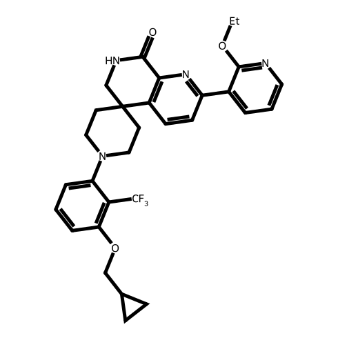 CCOc1ncccc1-c1ccc2c(n1)C(=O)NCC21CCN(c2cccc(OCC3CC3)c2C(F)(F)F)CC1